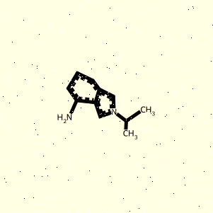 CC(C)n1cc2cccc(N)c2c1